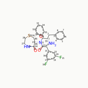 N[C@@H](Cc1ccccc1)C(=O)N(C(=O)Cc1cc(F)cc(F)c1)[C@@H]1C(=O)NCCS[C@@H]1c1ccccc1